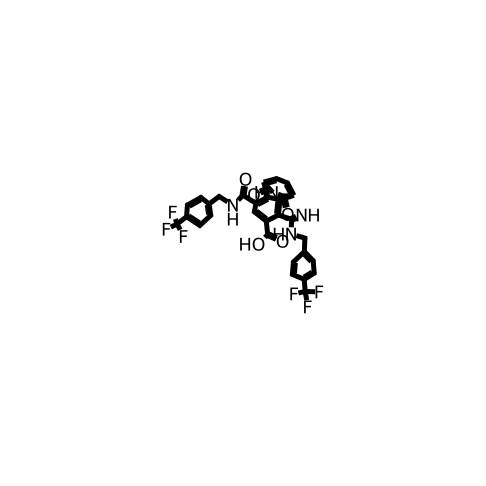 N=C(NCc1ccc(C(F)(F)F)cc1)c1c(C(=O)O)cc(C(=O)NCc2ccc(C(F)(F)F)cc2)c2c3ccc(c(=O)[nH]c3=O)c12